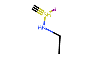 C#[SH](I)NCC